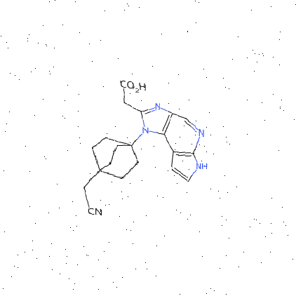 N#CCC12CCC(n3c(CC(=O)O)nc4cnc5[nH]ccc5c43)(CC1)CC2